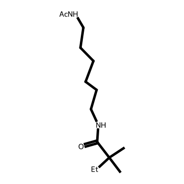 CCC(C)(C)C(=O)NCCCCCCNC(C)=O